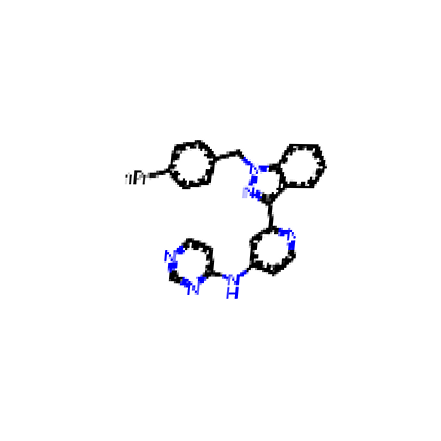 CCCc1ccc(Cn2nc(-c3cc(Nc4ccncn4)ccn3)c3ccccc32)cc1